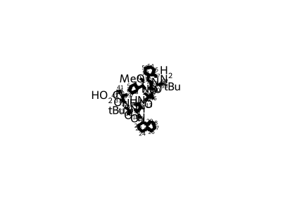 COC[C@H](c1ccccc1)N(CC1(C(=O)N[C@H]2C[C@@H](C(=O)N[C@@H]3CCCc4ccccc43)N(C(=O)C(NC(=O)C(C)N(C)C(=O)O)C(C)(C)C)C2)CC1)C(=O)C1Cc2ccccc2CN1C(=O)C(N)C(C)(C)C